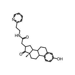 C[C@]12CCC3c4ccc(O)cc4CCC3C1CC(CC(=O)NCCc1ccccn1)C2=O